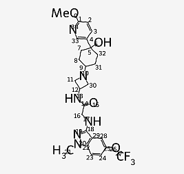 COc1ccc(C2(O)CCC(N3CC(NC(=O)CNc4nn(C)c5ccc(OC(F)(F)F)cc45)C3)CC2)cn1